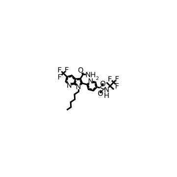 CCCCCCn1c(-c2ccc(S(=O)(=O)NC(C)(C)C(F)(F)F)cn2)c(C(N)=O)c2cc(C(F)(F)F)cnc21